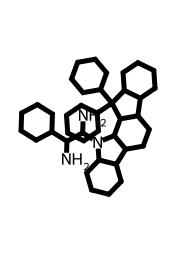 NC(C1CCCCC1)C(N)N1C2CCCCC2C2CCC3C4CCCCC4C(C4CCCCC4)(C4CCCCC4)C3C21